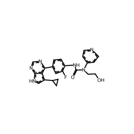 O=C(Nc1ccc(-c2ncnc3[nH]cc(C4CC4)c23)cc1F)N(CCO)c1ccncc1